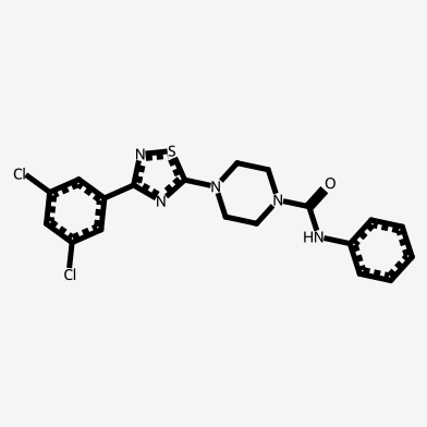 O=C(Nc1ccccc1)N1CCN(c2nc(-c3cc(Cl)cc(Cl)c3)ns2)CC1